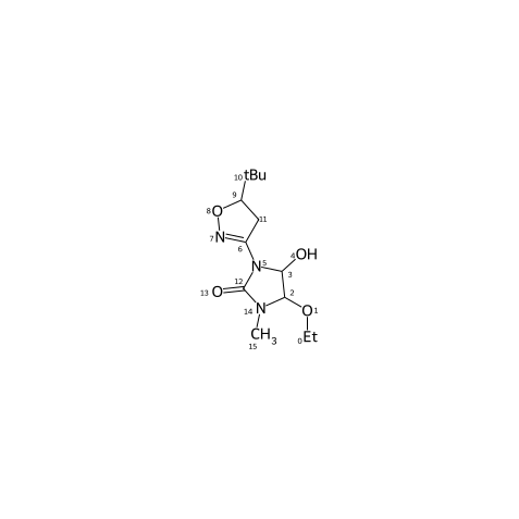 CCOC1C(O)N(C2=NOC(C(C)(C)C)C2)C(=O)N1C